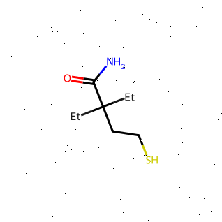 CCC(CC)(CCS)C(N)=O